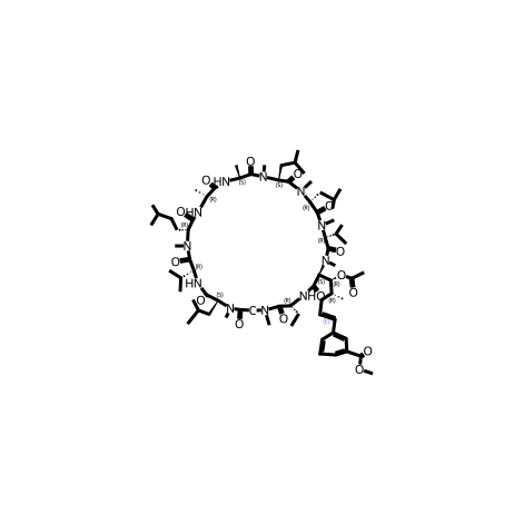 CC[C@H]1NC(=O)[C@H]([C@H](OC(C)=O)[C@H](C)C/C=C/c2cccc(C(=O)OC)c2)N(C)C(=O)[C@@H](C(C)C)N(C)C(=O)[C@@H](CC(C)C)N(C)C(=O)[C@H](CC(C)C)N(C)C(=O)[C@H](C)NC(=O)[C@@H](C)NC(=O)[C@@H](CCC(C)C)N(C)C(=O)[C@@H](C(C)C)NC(=O)[C@H](CC(C)C)N(C)C(=O)CN(C)C1=O